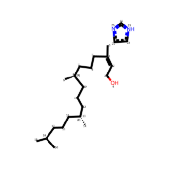 CC(=CCO)CCC[C@H](C)CCC[C@H](C)CCCC(C)C.c1c[nH]cn1